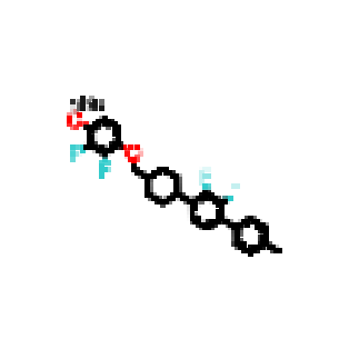 CCCCOc1ccc(OCC2CCC(c3ccc(-c4ccc(C)cc4)c(F)c3F)CC2)c(F)c1F